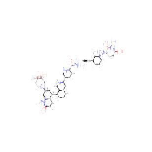 Cc1cc2c(-c3cccc4cc(-c5ccc(C(=O)NCC#Cc6cccc(NC7CCC(=O)NC7=O)c6)nc5)ncc34)cc(N3CCC(C)(O)CC3)cc2n(C)c1=O